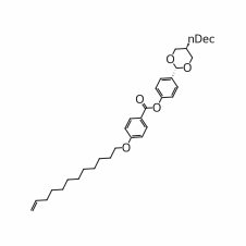 C=CCCCCCCCCCCOc1ccc(C(=O)Oc2ccc([C@H]3OC[C@H](CCCCCCCCCC)CO3)cc2)cc1